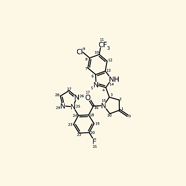 C=C1CC(c2nc3cc(Cl)c(C(F)(F)F)cc3[nH]2)N(C(=O)c2cc(F)ccc2-n2nccn2)C1